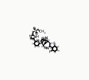 CCS(=O)(=O)Cc1nnc(-c2cccc([C@@]34CC[C@@H](C5C#CC3/N=N\C(c3c(F)cccc3F)=C/5)C4(C)C)n2)[nH]1